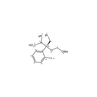 CCCN(C(=O)O)[C@](CC(C)C)(OCOC)c1ccccc1I